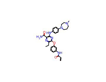 C=CC(=O)Nc1cccc(Oc2nc(Nc3ccc(N4CCCN(C)CC4)cc3)c(C(N)=O)nc2CC)c1